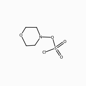 O=S(=O)(Cl)ON1CCOCC1